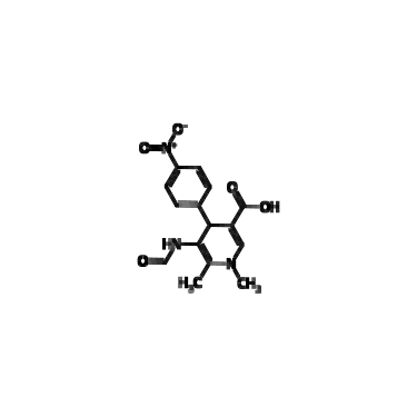 CC1=C(NC=O)C(c2ccc([N+](=O)[O-])cc2)C(C(=O)O)=CN1C